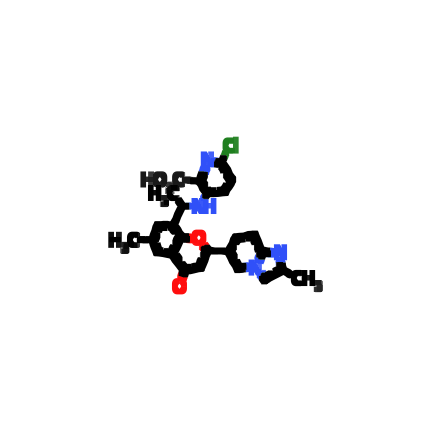 Cc1cc(C(C)Nc2ccc(Cl)nc2C(=O)O)c2oc(-c3ccc4nc(C)cn4c3)cc(=O)c2c1